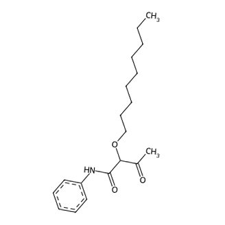 CCCCCCCCCOC(C(C)=O)C(=O)Nc1ccccc1